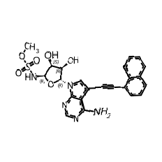 COS(=O)(=O)N[C@@H]1O[C@@H](n2cc(C#Cc3cccc4ccccc34)c3c(N)ncnc32)[C@H](O)[C@@H]1O